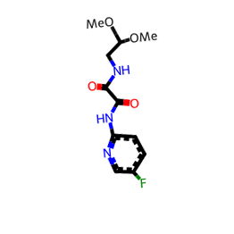 COC(CNC(=O)C(=O)Nc1ccc(F)cn1)OC